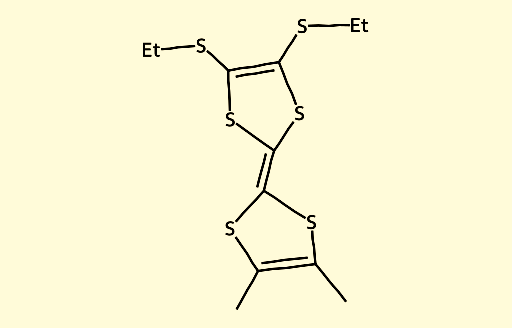 CCSC1=C(SCC)SC(=C2SC(C)=C(C)S2)S1